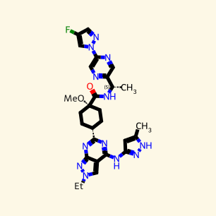 CCn1cc2c(Nc3cc(C)[nH]n3)nc([C@H]3CC[C@](OC)(C(=O)N[C@@H](C)c4cnc(-n5cc(F)cn5)cn4)CC3)nc2n1